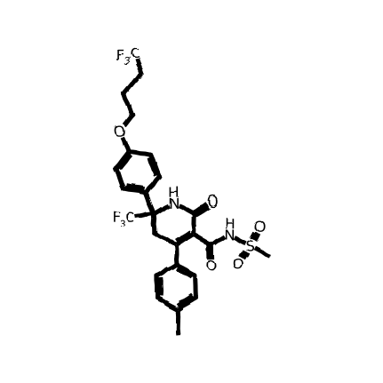 Cc1ccc(C2=C(C(=O)NS(C)(=O)=O)C(=O)NC(c3ccc(OCCCC(F)(F)F)cc3)(C(F)(F)F)C2)cc1